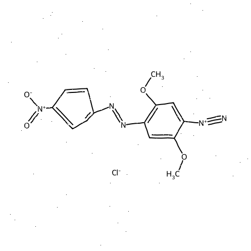 COc1cc([N+]#N)c(OC)cc1N=Nc1ccc([N+](=O)[O-])cc1.[Cl-]